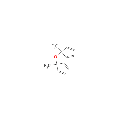 C=CC(C=C)(OC(C=C)(C=C)C(F)(F)F)C(F)(F)F